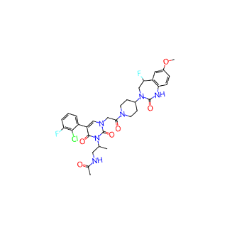 COc1ccc2c(c1)C(F)CN(C1CCN(C(=O)Cn3cc(-c4cccc(F)c4Cl)c(=O)n(C(C)CNC(C)=O)c3=O)CC1)C(=O)N2